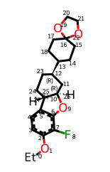 CCOc1ccc2c(c1F)O[C@@H]1C[C@H](C3CCC4(CC3)OCCO4)CC[C@@H]21